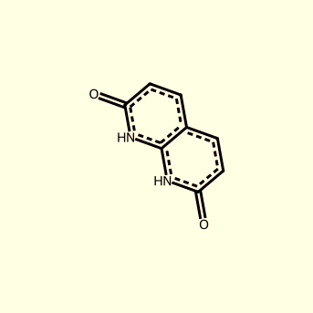 O=c1ccc2ccc(=O)[nH]c2[nH]1